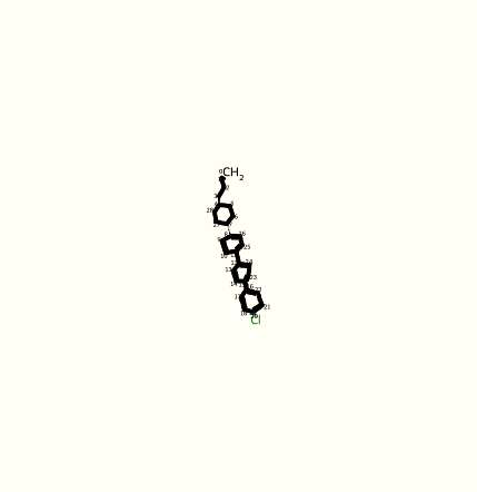 C=CCC[C@H]1CC[C@H](c2ccc(-c3ccc(-c4ccc(Cl)cc4)cc3)cc2)CC1